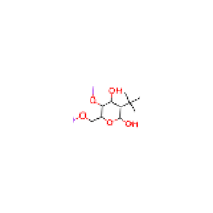 CC(C)(C)C1C(O)OC(COI)C(OI)C1O